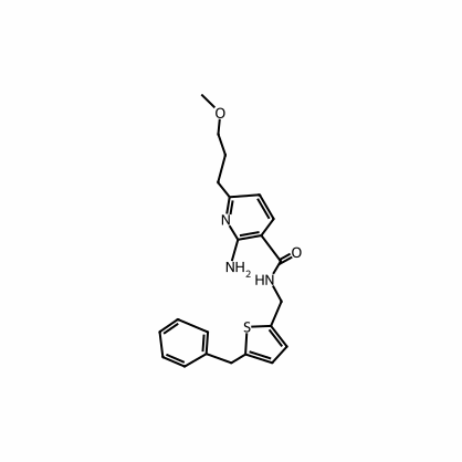 COCCCc1ccc(C(=O)NCc2ccc(Cc3ccccc3)s2)c(N)n1